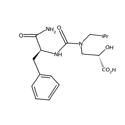 CC(C)CN(C[C@H](O)C(=O)O)C(=O)N[C@@H](Cc1ccccc1)C(N)=O